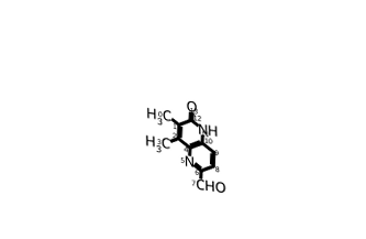 Cc1c(C)c2nc(C=O)ccc2[nH]c1=O